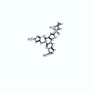 Cn1cc(Cn2c(=O)c3cc(S(=O)(=O)NC4(C)CC4)sc3n(Cc3cnc(C#N)s3)c2=O)cn1